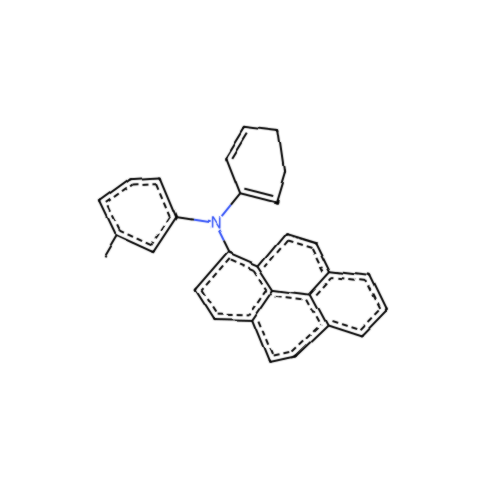 Cc1cccc(N(C2=CCCC=C2)c2ccc3ccc4cccc5ccc2c3c45)c1